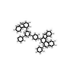 c1ccc(-c2nc(-c3ccc(-c4cc5c(-c6ccccc6)nc6ccccc6c5c5c4sc4ccccc45)cc3)nc(-c3cccc4sc5ccccc5c34)n2)cc1